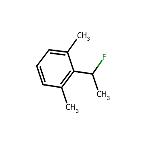 Cc1cccc(C)c1C(C)F